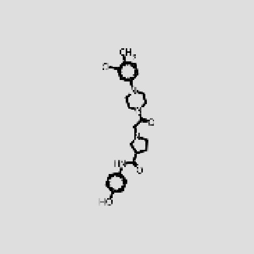 Cc1ccc(N2CCN(C(=O)CN3CCC(C(=O)Nc4ccc(O)cc4)C3)CC2)cc1Cl